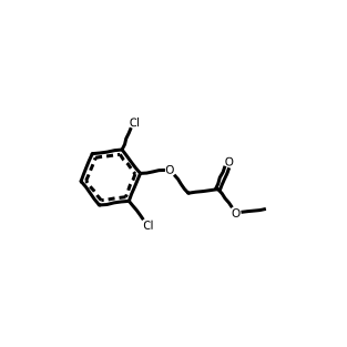 COC(=O)COc1c(Cl)cccc1Cl